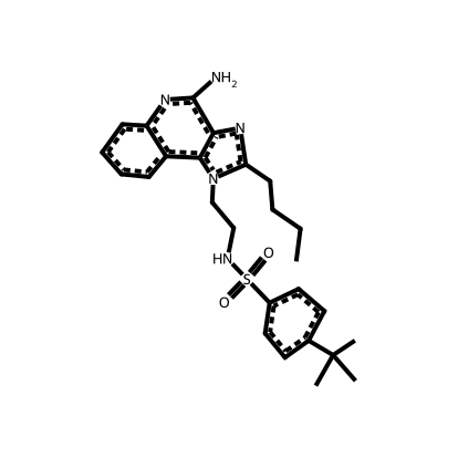 CCCCc1nc2c(N)nc3ccccc3c2n1CCNS(=O)(=O)c1ccc(C(C)(C)C)cc1